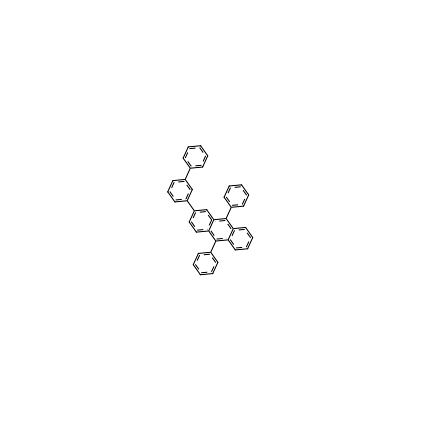 c1ccc(-c2cccc(-c3ccc4c(-c5ccccc5)c5ccccc5c(-c5ccccc5)c4c3)c2)cc1